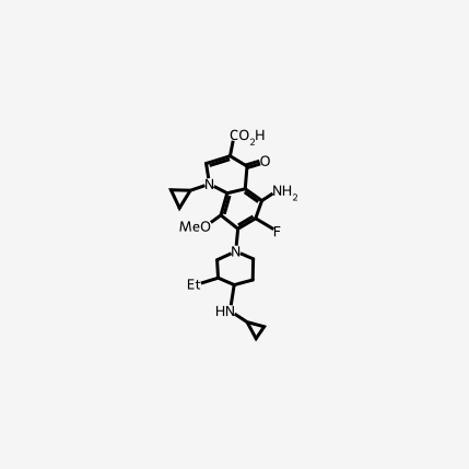 CCC1CN(c2c(F)c(N)c3c(=O)c(C(=O)O)cn(C4CC4)c3c2OC)CCC1NC1CC1